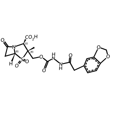 C[C@]1(COC(=O)NNC(=O)Cc2ccc3c(c2)OCO3)[C@H](C(=O)O)N2C(=O)C[C@H]2S1(=O)=O